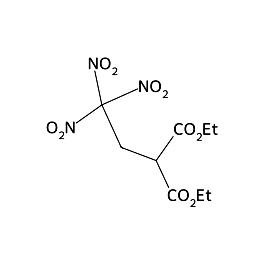 CCOC(=O)C(CC([N+](=O)[O-])([N+](=O)[O-])[N+](=O)[O-])C(=O)OCC